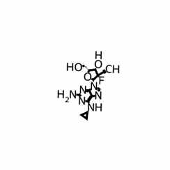 C#C[C@@]1(F)[C@H](O)[C@@H](CO)O[C@H]1n1cnc2c(NC3CC3)nc(N)nc21